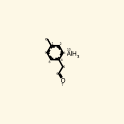 Cc1ccc(CC=O)cc1.[AlH3]